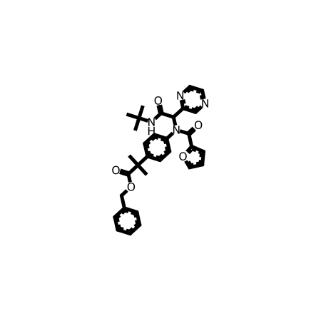 CC(C)(C)NC(=O)C(c1cnccn1)N(C(=O)c1ccco1)c1ccc(C(C)(C)C(=O)OCc2ccccc2)cc1